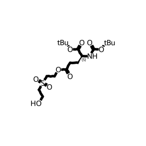 CC(C)(C)OC(=O)N[C@@H](CCC(=O)OCCS(=O)(=O)CCO)C(=O)OC(C)(C)C